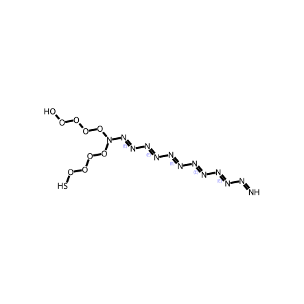 N=N/N=N/N=N/N=N/N=N/N=N/N(OOOOO)OOOOS